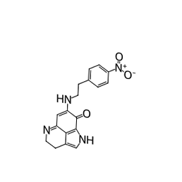 O=C1C(NCCc2ccc([N+](=O)[O-])cc2)=CC2=NCCc3c[nH]c1c32